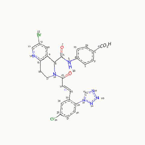 O=C(O)c1ccc(NC(=O)C2c3cc(Br)cnc3CCN2C(=O)/C=C/c2cc(Cl)ccc2-n2cnnn2)cc1